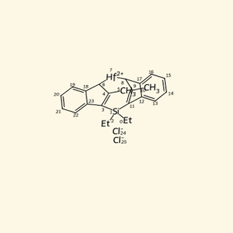 CC[Si]1(CC)C2=C(C)[CH]([Hf+2][CH]3C(C)=C1c1ccccc13)c1ccccc12.[Cl-].[Cl-]